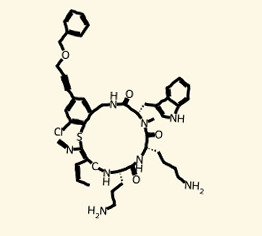 C=N/C1=C(\C=C/C)CN[C@@H](CCCN)C(=O)N[C@@H](CCCCN)C(=O)N(C)[C@@H](Cc2c[nH]c3ccccc23)C(=O)NCc2cc(C#CCOCc3ccccc3)cc(Cl)c2S1